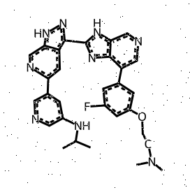 CC(C)Nc1cncc(-c2cc3c(-c4nc5c(-c6cc(F)cc(OCCN(C)C)c6)cncc5[nH]4)n[nH]c3cn2)c1